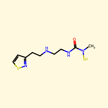 CN(S)C(=O)NCCNCCc1ccsn1